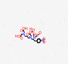 O=COCN(COC=O)C(Cc1ccc([N+](=O)[O-])cc1)CN(CCCN(CC(=O)O)CC(=O)O)CC(=O)O